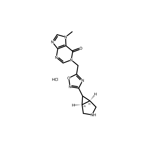 Cl.Cn1cnc2ncn(Cc3nc(C4[C@H]5CNC[C@@H]45)no3)c(=O)c21